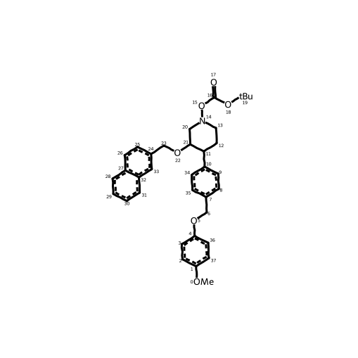 COc1ccc(OCc2ccc(C3CCN(OC(=O)OC(C)(C)C)CC3OCc3ccc4ccccc4c3)cc2)cc1